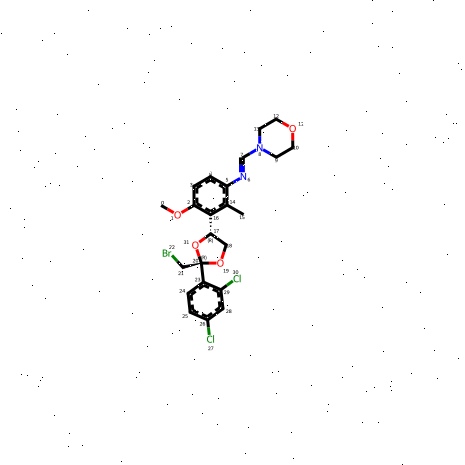 COc1ccc(N=CN2CCOCC2)c(C)c1[C@@H]1CO[C@](CBr)(c2ccc(Cl)cc2Cl)O1